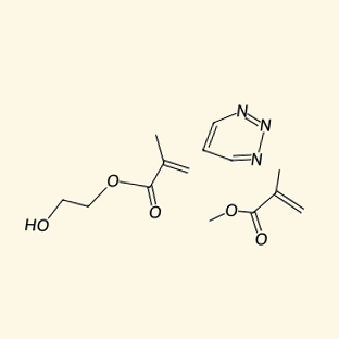 C=C(C)C(=O)OC.C=C(C)C(=O)OCCO.c1cnnnc1